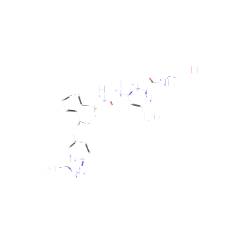 CC(C)c1nnc2ccc(O[C@@H]3CC[C@H](NC(=O)Nc4cc(C(C)(C)C)nc(C(=O)NCCO)n4)c4ccccc43)cn12